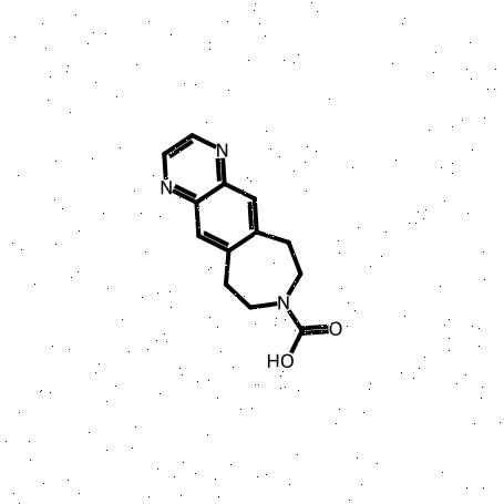 O=C(O)N1CCc2cc3nccnc3cc2CC1